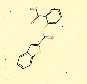 COC(=O)c1ccccc1SC(=O)c1cc2ccccc2s1